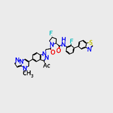 CC(=O)c1nn(CC(=O)N2C[C@H](F)C[C@H]2C(=O)Nc2cccc(-c3ccc4scnc4c3)c2F)c2ccc(C3=Cn4nccc4N(C)C3)cc12